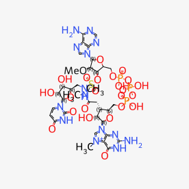 CO[C@@H]1[C@H](OS(=O)(=O)NC[C@H]2O[C@@H](n3ccc(=O)[nH]c3=O)[C@H](O)[C@@H]2O)C(COP(=O)(O)OP(=O)(O)OP(=O)(O)OC[C@H]2O[C@@H](n3c[n+](C)c4c(=O)[nH]c(N)nc43)[C@H](O)[C@@H]2CC(=O)N(C)C)O[C@H]1n1cnc2c(N)ncnc21